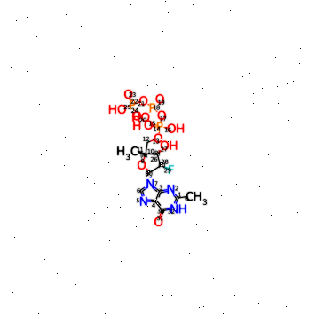 Cc1nc2c(ncn2[C@@H]2O[C@](C)(COP(=O)(O)OP(=O)(O)OP(=O)(O)O)[C@@H](O)[C@H]2F)c(=O)[nH]1